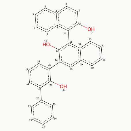 Oc1ccc2ccccc2c1-c1c(O)c(-c2cccc(-c3ccccc3)c2O)cc2ccccc12